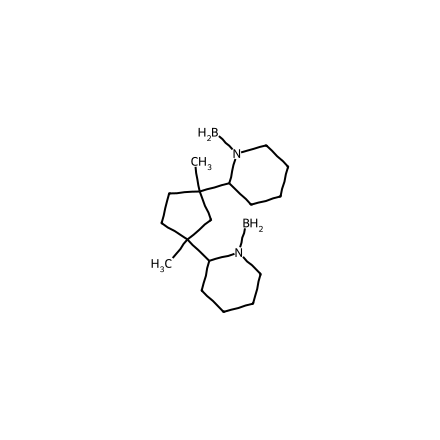 BN1CCCCC1C1(C)CCC(C)(C2CCCCN2B)C1